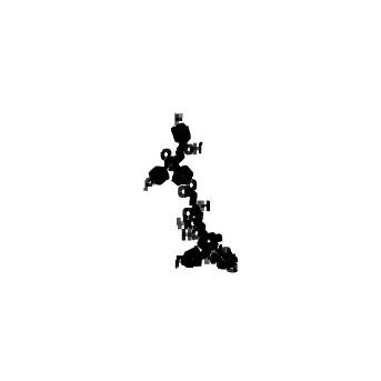 CC(C)c1nc(N(C)S(C)(=O)=O)nc(-c2ccc(F)cc2)c1/C=C/C(O)CC(O)CC(=O)NCCC(=O)Oc1ccc(C2C(CCC(O)c3ccc(F)cc3)C(=O)N2c2ccc(F)cc2)cc1